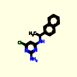 CC(Nc1cc(Cl)nc(N)n1)c1ccc2ccccc2c1